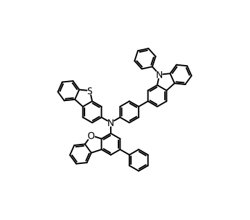 c1ccc(-c2cc(N(c3ccc(-c4ccc5c6ccccc6n(-c6ccccc6)c5c4)cc3)c3ccc4c(c3)sc3ccccc34)c3oc4ccccc4c3c2)cc1